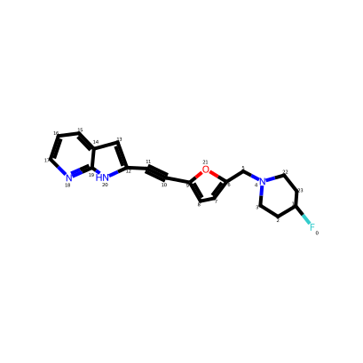 FC1CCN(Cc2ccc(C#Cc3cc4cccnc4[nH]3)o2)CC1